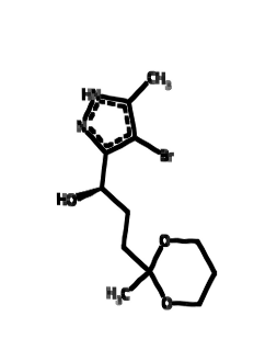 Cc1[nH]nc([C@H](O)CCC2(C)OCCCO2)c1Br